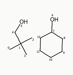 CC(C)(C)CO.OC1CCCCC1